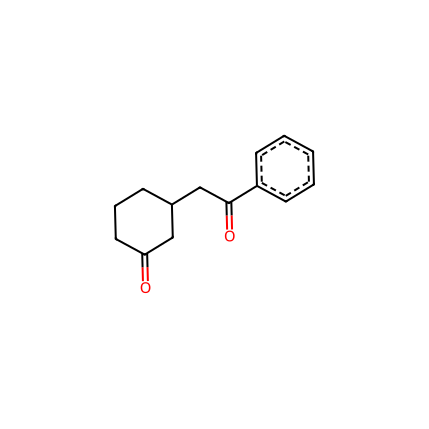 O=C1CCCC(CC(=O)c2ccccc2)C1